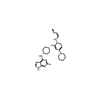 C=N/C=C\P[C@H]1CC=C(N2CCCCC2)C=C1C[C@H]1CC[C@@H](Nc2nc(C)nc3[nH]cnc23)CC1